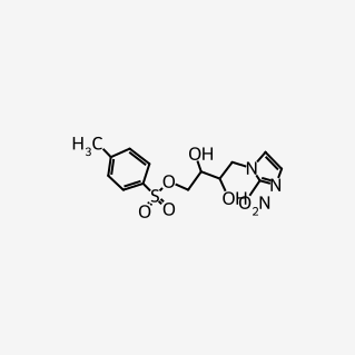 Cc1ccc(S(=O)(=O)OCC(O)C(O)Cn2ccnc2[N+](=O)[O-])cc1